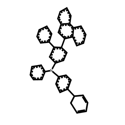 C1=CCC(c2ccc(N(c3ccccc3)c3ccc(-c4cc5ccccc5c5ccccc45)c(-c4ccccc4)c3)cc2)C=C1